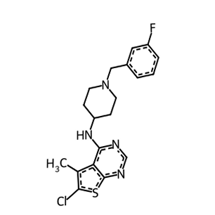 Cc1c(Cl)sc2ncnc(NC3CCN(Cc4cccc(F)c4)CC3)c12